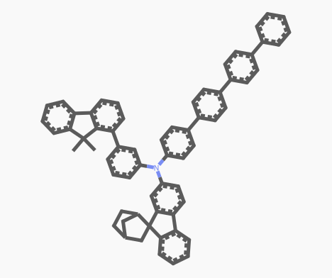 CC1(C)c2ccccc2-c2cccc(-c3cccc(N(c4ccc(-c5ccc(-c6ccc(-c7ccccc7)cc6)cc5)cc4)c4ccc5c(c4)C4(CC6CCC4C6)c4ccccc4-5)c3)c21